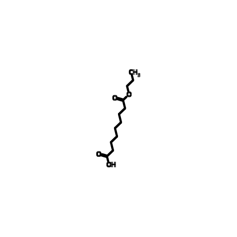 CCCOC(=O)CCCCCCCC(=O)O